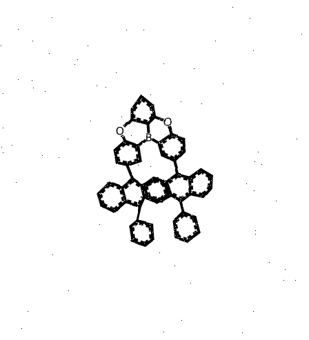 c1ccc(-c2c3ccccc3c(-c3ccc4c(c3)B3c5cc(-c6c7ccccc7c(-c7ccccc7)c7ccccc67)ccc5Oc5cccc(c53)O4)c3ccccc23)cc1